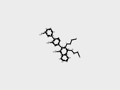 CCCCc1c(-c2ccc(-c3cccc(F)c3)c(F)c2)c(F)c2ccccc2c1CCCC